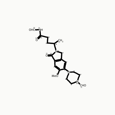 COc1cc2c(cc1N1CCN(C=O)CC1)CN(C(C)CCC(=O)NC=O)C2=O